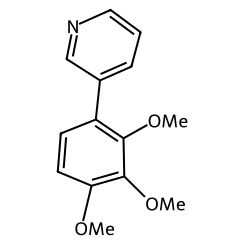 COc1ccc(-c2cccnc2)c(OC)c1OC